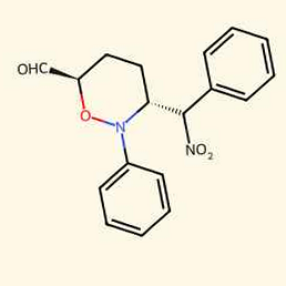 O=C[C@H]1CC[C@H](C(c2ccccc2)[N+](=O)[O-])N(c2ccccc2)O1